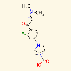 CN(C)/C=C/C(=O)c1ccc(N2CC3CC2CN3C(=O)O)cc1F